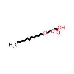 C=CCCCCCCCCCCCOCCOCC(=O)O